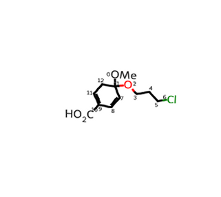 COC1(OCCCCl)C=CC(C(=O)O)=CC1